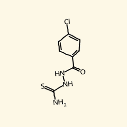 NC(=S)NNC(=O)c1ccc(Cl)cc1